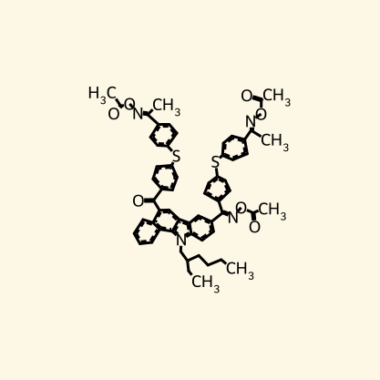 CCCCC(CC)Cn1c2ccc(/C(=N/OC(C)=O)c3ccc(Sc4ccc(/C(C)=N/OC(C)=O)cc4)cc3)cc2c2cc(C(=O)c3ccc(Sc4ccc(/C(C)=N/OC(C)=O)cc4)cc3)c3ccccc3c21